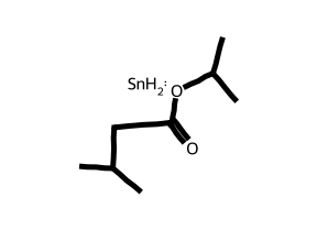 CC(C)CC(=O)OC(C)C.[SnH2]